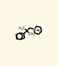 CC(C)(C[N+]12CCC(CC1)CC2)C1CC2C=CC1C2